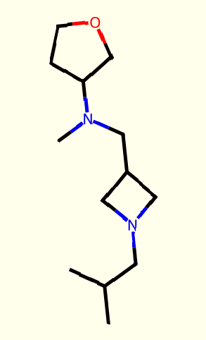 CC(C)CN1CC(CN(C)C2CCOC2)C1